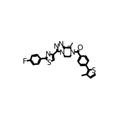 Cc1ccsc1-c1ccc(C(=O)N2CCn3c(-c4csc(-c5ccc(F)cc5)n4)nnc3[C@H]2C)cc1